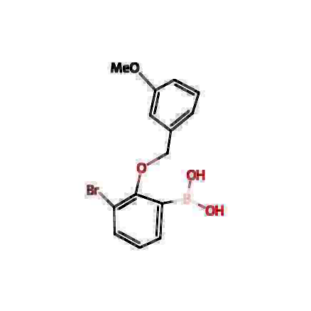 COc1cccc(COc2c(Br)cccc2B(O)O)c1